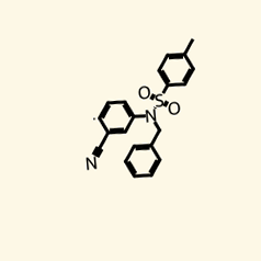 Cc1ccc(S(=O)(=O)N(Cc2ccccc2)c2cc[c]c(C#N)c2)cc1